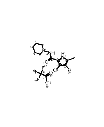 Cc1[nH]c(C(=O)NN2CCCCC2)c(Cl)c1Cl.O=C(O)C(F)(F)F